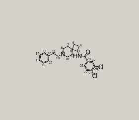 O=C(NC1CCC12CCN(CCc1ccccc1)CC2)c1ccc(Cl)c(Cl)c1